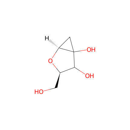 OC[C@H]1O[C@H]2CC2(O)C1O